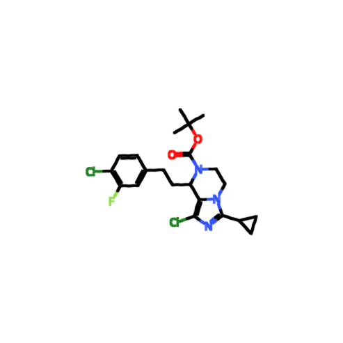 CC(C)(C)OC(=O)N1CCn2c(C3CC3)nc(Cl)c2C1CCc1ccc(Cl)c(F)c1